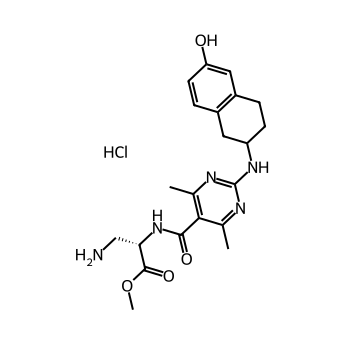 COC(=O)[C@H](CN)NC(=O)c1c(C)nc(NC2CCc3cc(O)ccc3C2)nc1C.Cl